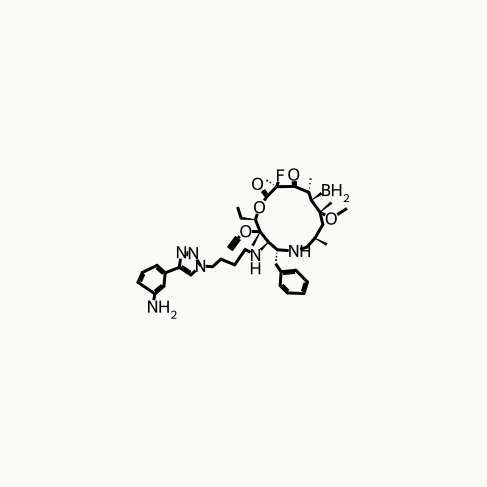 B[C@@H]1[C@@H](C)C(=O)[C@](C)(F)C(=O)O[C@H](CC)[C@@](C)(OC#C)[C@H](NCCCCn2cc(-c3cccc(N)c3)nn2)[C@@H](Cc2ccccc2)NC[C@H](C)C[C@@]1(C)OC